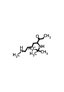 CCC(=O)C(CCCCNC)NC(C)(C)C